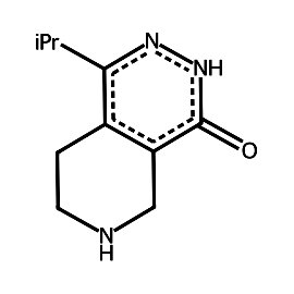 CC(C)c1n[nH]c(=O)c2c1CCNC2